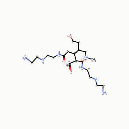 CNCC(CCO)C(CC(=O)NCCNCCN)C(C(C)=O)C(=O)NCCNCCN